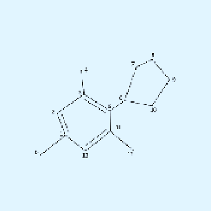 Cc1cc(C)c(C2CCCC2)c(C)c1